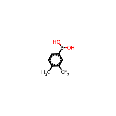 Cc1ccc(B(O)O)cc1C(F)(F)F